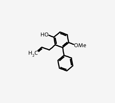 C=CCc1c(O)ccc(OC)c1-c1ccccc1